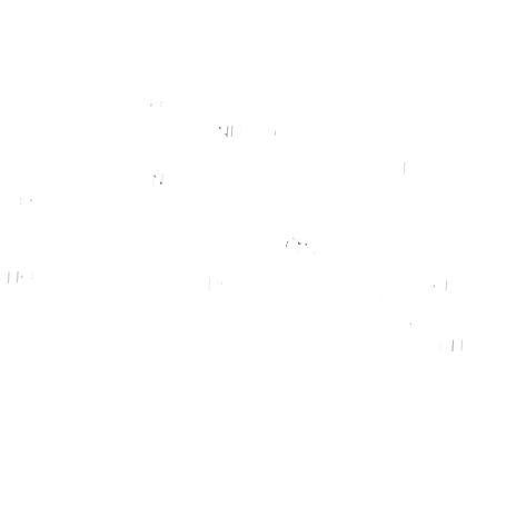 CC(C)C1=CN(CCC(=O)O)C(=O)N[C@@]1(C)c1ccc(COC(C)(C)C)c(Cl)c1